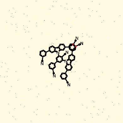 N#Cc1cccc(-c2cc(-n3c4cc(-c5cccc(C#N)c5)ccc4c4ccc(-c5cccc(C#N)c5)cc43)c(C#N)c(-n3c4cc(-c5cccc(C#N)c5)ccc4c4ccc(-c5cccc(C#N)c5)cc43)c2)c1